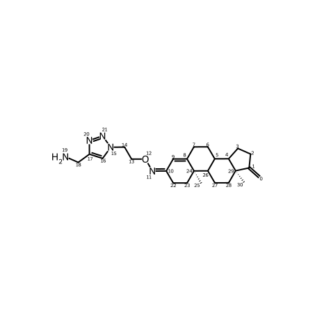 C=C1CCC2C3CCC4=CC(=NOCCn5cc(CN)nn5)CC[C@]4(C)C3CC[C@]12C